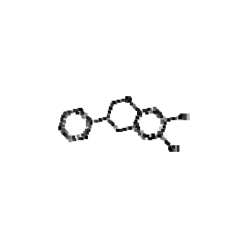 Oc1cc2c(cc1O)OCC(c1ccccc1)C2